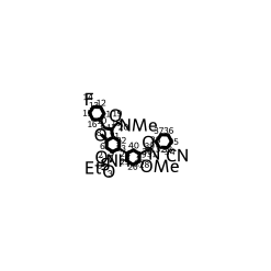 CCS(=O)(=O)Nc1cc2oc(-c3ccc(F)cc3)c(C(=O)NC)c2cc1-c1ccc(OC)c(-c2nc3c(C#N)cccc3o2)c1